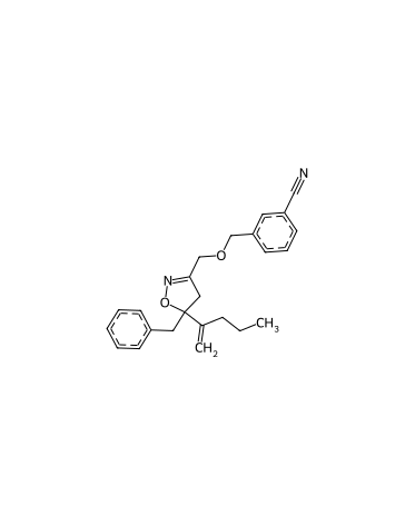 C=C(CCC)C1(Cc2ccccc2)CC(COCc2cccc(C#N)c2)=NO1